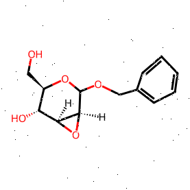 OC[C@H]1OC(OCc2ccccc2)[C@H]2O[C@H]2[C@@H]1O